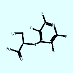 NCC(Sc1c(F)c(F)nc(F)c1F)C(=O)O